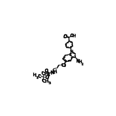 CC(C)(C)OC(=O)NCCCOc1ccc2c(c1)c(N)cn2-c1ccc(C(=O)O)cc1